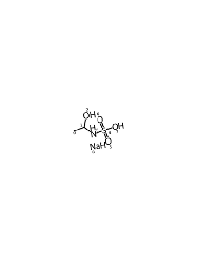 CC(O)NS(=O)(=O)O.[NaH]